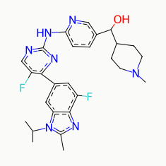 Cc1nc2c(F)cc(-c3nc(Nc4ccc(C(O)C5CCN(C)CC5)cn4)ncc3F)cc2n1C(C)C